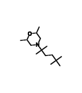 CC1CN(C(C)(C)CCC(C)(C)C)CC(C)O1